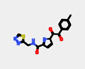 Cc1ccc(C(=O)C(=O)C2C=CC(C(=O)NCc3nncs3)=N2)cc1